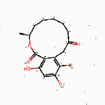 C[C@H]1CCCCCC(=O)Cc2c(Br)c(O)cc(O)c2C(=O)O1